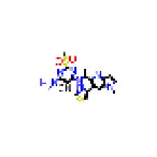 CC(Nc1nc(S(C)(=O)=O)nc(N)c1C#N)c1nc2ccn(C)c2cc1-c1cscn1